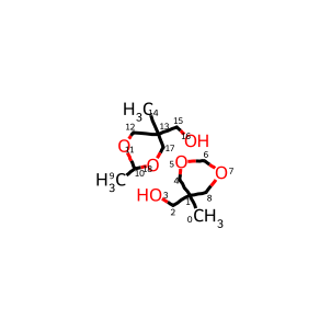 CC1(CO)COCOC1.CC1OCC(C)(CO)CO1